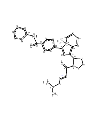 CN(C)C/C=C/C(=O)N1CCCC1C1=C2C=NC=C[N+]2(C)C(c2ccc(C(=O)Nc3ccccn3)cc2)=N1